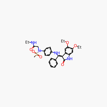 CCNC(=O)CN(c1ccc(NC(=C2C(=O)Nc3cc(OCC)c(OCC)cc32)c2ccccc2)cc1)S(C)(=O)=O